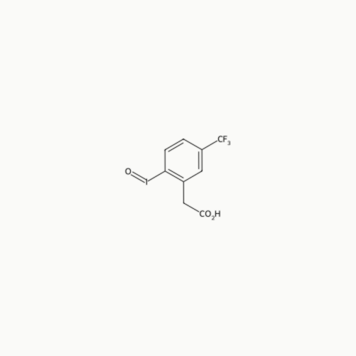 O=Ic1ccc(C(F)(F)F)cc1CC(=O)O